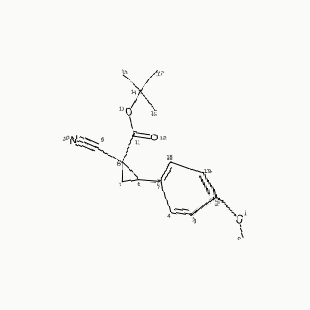 COc1ccc(C2CC2(C#N)C(=O)OC(C)(C)C)cc1